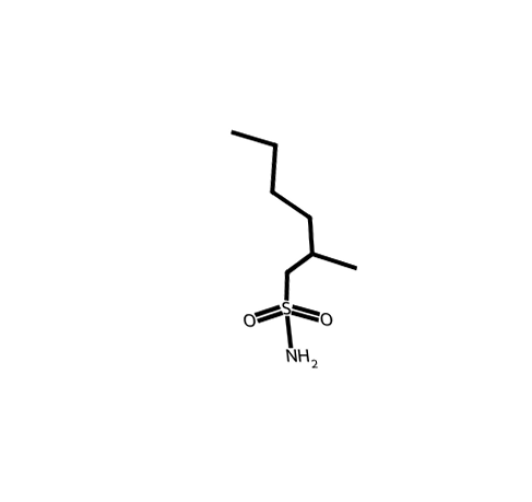 CCCCC(C)CS(N)(=O)=O